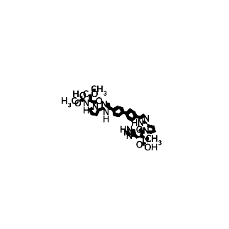 COC(=O)N[C@H](C(=O)N1CCCC1c1ncc(-c2ccc(-c3ccc(-c4cnc([C@@H]5CCCN5C(=O)[C@H](Cc5c[nH]nn5)N(C)C(=O)O)[nH]4)cc3)cc2)[nH]1)[C@@H](C)OC